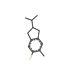 Cc1cc2c(cc1F)CC(C(C)C)C2